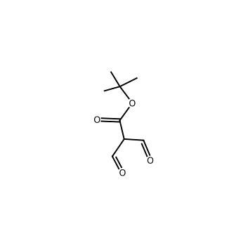 CC(C)(C)OC(=O)C(C=O)C=O